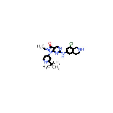 CCn1c(=O)c2cnc(Nc3cc(Cl)c4c(c3)CCNC4)nc2n1-c1ccnc(C(C)(C)C)c1